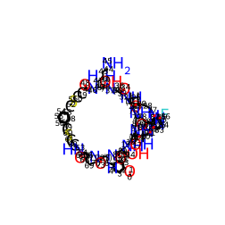 COc1ccc(C[C@@H]2NC(=O)[C@H]([C@H](C)O)NC(=O)[C@@H]3CCCc4cn(nn4)CCCC[C@H](NC(=O)[C@@H](C)NC(O)[C@H](CCCCN)NC(=O)CCSCc4cccc(c4)CSCCNC(=O)[C@]4(C)CCCN4C2=O)C(=O)NC(Cc2c[nH]c4ccc(F)cc24)C(=O)N3)cc1